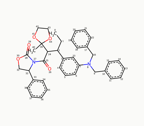 CCC(c1cccc(N(Cc2ccccc2)Cc2ccccc2)c1)C(C(=O)N1C(=O)OCC1c1ccccc1)C1(C)OCCO1